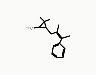 CCOC(=O)C1C(CC(C)=C(C)c2ccccc2)C1(C)C